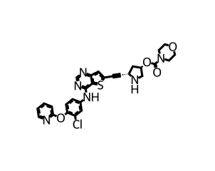 O=C(O[C@H]1CN[C@H](C#Cc2cc3ncnc(Nc4ccc(Oc5ccccn5)c(Cl)c4)c3s2)C1)N1CCOCC1